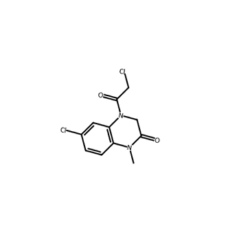 CN1C(=O)CN(C(=O)CCl)c2cc(Cl)ccc21